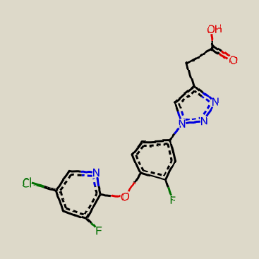 O=C(O)Cc1cn(-c2ccc(Oc3ncc(Cl)cc3F)c(F)c2)nn1